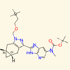 CN(C(=O)OC(C)(C)C)c1cnc2[nH]c(-c3nn(COCC[Si](C)(C)C)c4c3C[C@@H]3C[C@]3(C)C4)nc2c1